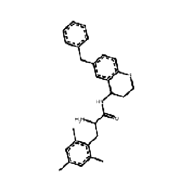 Cc1cc(C)c(CC(N)C(=O)NC2CCSc3ccc(Cc4ccccc4)cc32)c(C)c1